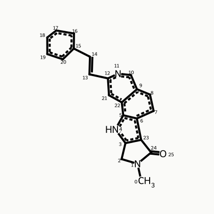 CN1Cc2[nH]c3c(ccc4cnc(C=Cc5ccccc5)cc43)c2C1=O